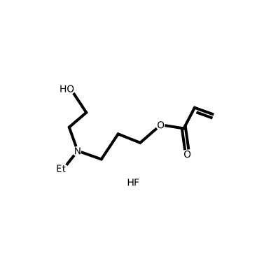 C=CC(=O)OCCCN(CC)CCO.F